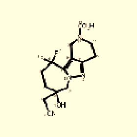 N#CC[C@]1(O)CCC(F)(F)c2c3c(nn2C1)CCN(C(=O)O)C3